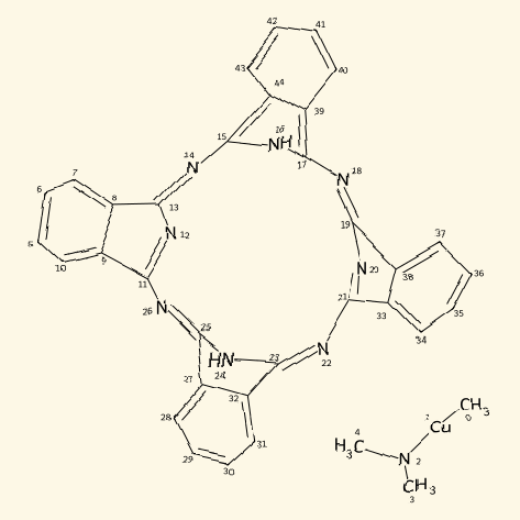 [CH3][Cu][N](C)C.c1ccc2c(c1)-c1nc-2nc2[nH]c(nc3nc(nc4[nH]c(n1)c1ccccc41)-c1ccccc1-3)c1ccccc21